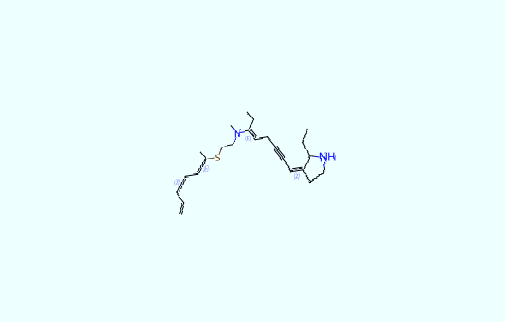 C=C/C=C\C=C(/C)SCCN(C)/C(=C/CC#C/C=C1/CCNC1CC)CC